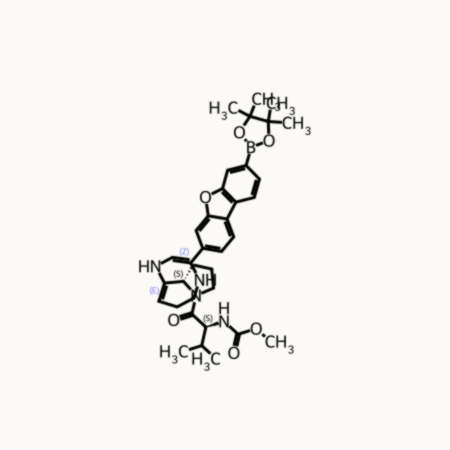 COC(=O)N[C@H](C(=O)N1CCC[C@H]1/C1=C\CCN/C(c2ccc3c(c2)oc2cc(B4OC(C)(C)C(C)(C)O4)ccc23)=C\N1)C(C)C